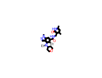 CCc1c(C(=O)NCc2c(C)cc(C)[nH]c2=O)cc2c(cnn2C)c1N(CC)C1CCOCC1